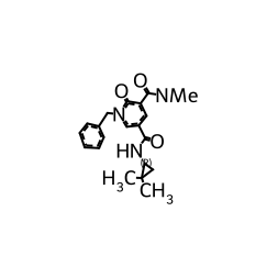 CNC(=O)c1cc(C(=O)N[C@@H]2CC2(C)C)cn(Cc2ccccc2)c1=O